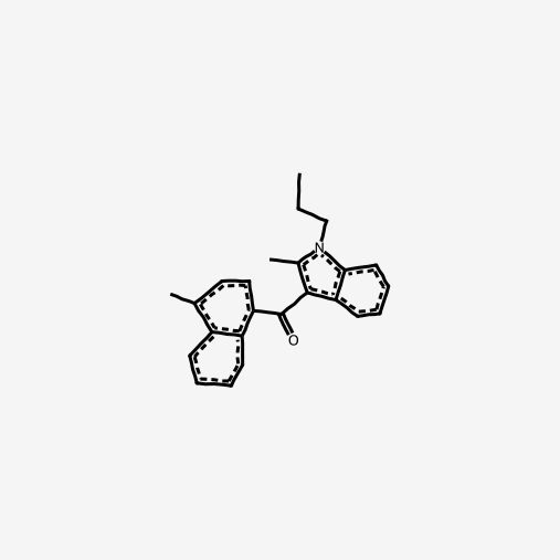 CCCn1c(C)c(C(=O)c2ccc(C)c3ccccc23)c2ccccc21